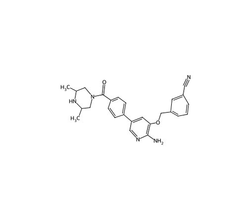 CC1CN(C(=O)c2ccc(-c3cnc(N)c(OCc4cccc(C#N)c4)c3)cc2)CC(C)N1